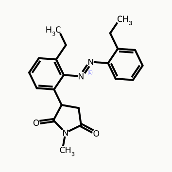 CCc1ccccc1/N=N/c1c(CC)cccc1C1CC(=O)N(C)C1=O